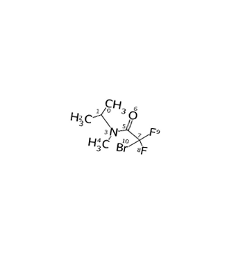 CC(C)N(C)C(=O)C(F)(F)Br